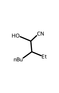 CCCCC(CC)C(O)C#N